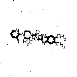 Cc1cc2nc(NC(=O)N3CCN(c4ncccc4I)C[C@H]3C)[nH]c2cc1C